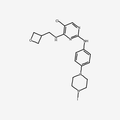 Clc1cnc(Nc2ccc(N3CCN(I)CC3)cc2)nc1NCC1COC1